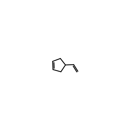 C=CC1CC=CC1